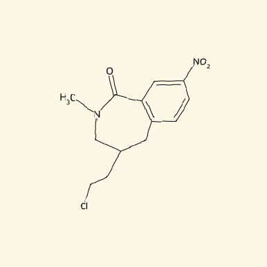 CN1CC(CCCl)Cc2ccc([N+](=O)[O-])cc2C1=O